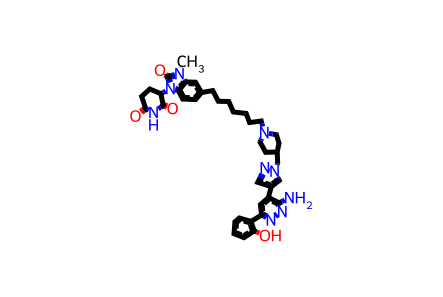 Cn1c(=O)n(C2CCC(=O)NC2=O)c2ccc(CCCCCCCN3CCC(Cn4cc(-c5cc(-c6ccccc6O)nnc5N)cn4)CC3)cc21